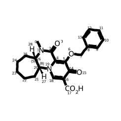 CN1C(=O)c2c(OCc3ccccc3)c(=O)c(C(=O)O)cn2[C@@H]2CCCCC[C@@H]21